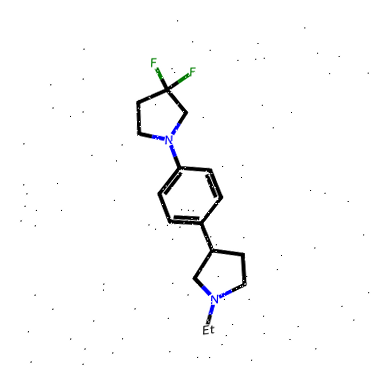 CCN1CCC(c2ccc(N3CCC(F)(F)C3)cc2)C1